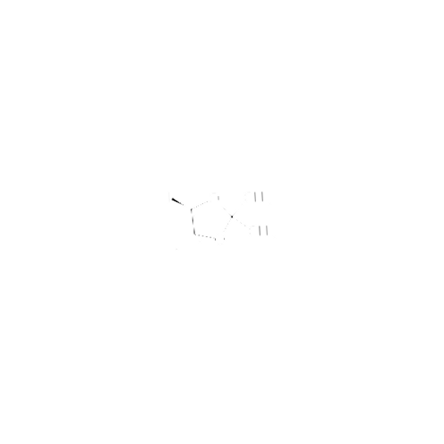 CC1(C)O[C@H](I)[C@@H](I)O1